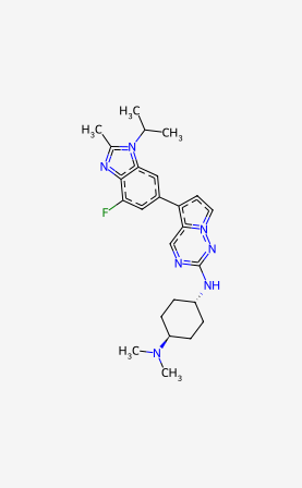 Cc1nc2c(F)cc(-c3ccn4nc(N[C@H]5CC[C@H](N(C)C)CC5)ncc34)cc2n1C(C)C